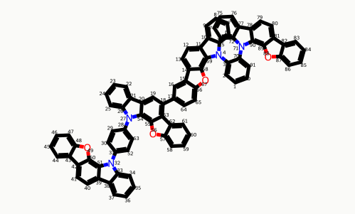 c1ccc(-n2c3ccccc3c3ccc4c5cc(-c6cc7c8ccccc8n(-c8ccc(-n9c%10ccccc%10c%10ccc%11c%12ccccc%12oc%11c%109)cc8)c7c7oc8ccccc8c67)ccc5oc4c32)c(-n2c3ccccc3c3ccc4c5ccccc5oc4c32)c1